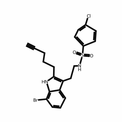 C#CCCCc1[nH]c2c(Br)cccc2c1CCNS(=O)(=O)c1ccc(Cl)cc1